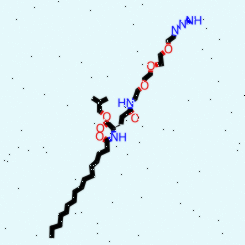 CCCCCCCCCCCCCCCC(=O)N[C@@H](CCC(=O)NCCOCCOCCOCCN=[N+]=N)C(=O)OCC(C)C